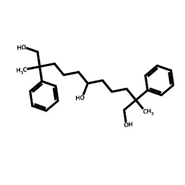 CC(CO)(CCCC(O)CCCC(C)(CO)c1ccccc1)c1ccccc1